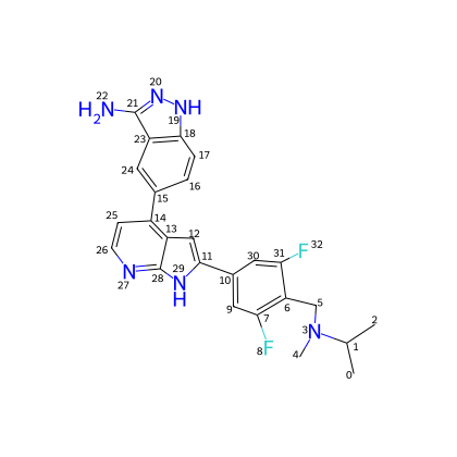 CC(C)N(C)Cc1c(F)cc(-c2cc3c(-c4ccc5[nH]nc(N)c5c4)ccnc3[nH]2)cc1F